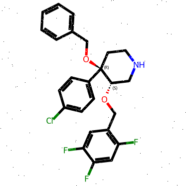 Fc1cc(F)c(CO[C@H]2CNCC[C@@]2(OCc2ccccc2)c2ccc(Cl)cc2)cc1F